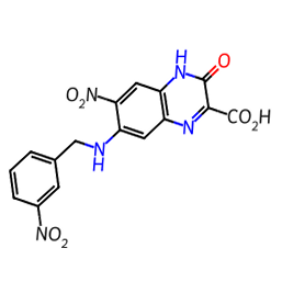 O=C(O)c1nc2cc(NCc3cccc([N+](=O)[O-])c3)c([N+](=O)[O-])cc2[nH]c1=O